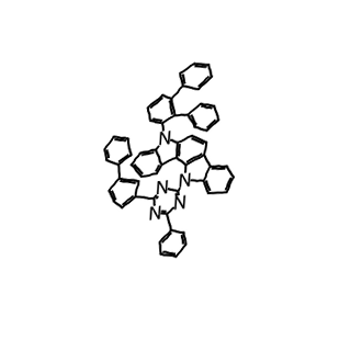 c1ccc(-c2cccc(-c3nc(-c4ccccc4)nc(-n4c5ccccc5c5ccc6c(c7ccccc7n6-c6cccc(-c7ccccc7)c6-c6ccccc6)c54)n3)c2)cc1